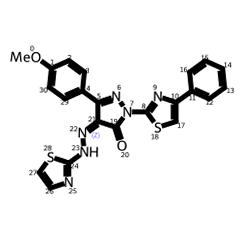 COc1ccc(C2=NN(c3nc(-c4ccccc4)cs3)C(=O)/C2=N\Nc2nccs2)cc1